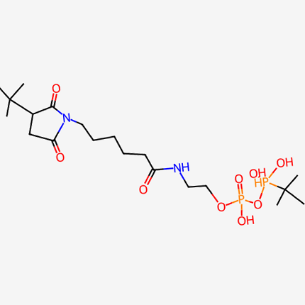 CC(C)(C)C1CC(=O)N(CCCCCC(=O)NCCOP(=O)(O)O[PH](O)(O)C(C)(C)C)C1=O